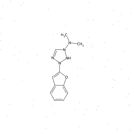 CN(C)N1C=NN(c2cc3ccccc3o2)N1